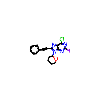 Clc1nc(I)nc2c1nc(C#Cc1ccccc1)n2C1CCCCO1